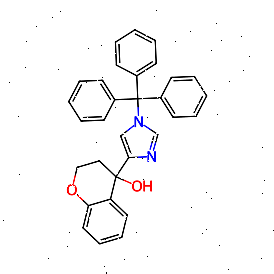 OC1(c2cn(C(c3ccccc3)(c3ccccc3)c3ccccc3)cn2)CCOc2ccccc21